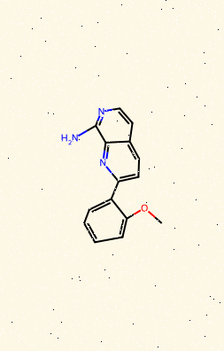 COc1ccccc1-c1ccc2ccnc(N)c2n1